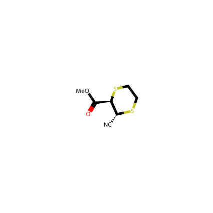 COC(=O)[C@H]1SCCS[C@@H]1C#N